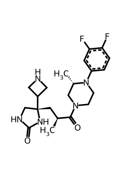 C[C@@H](C[C@]1(C2CNC2)CNC(=O)N1)C(=O)N1CCN(c2ccc(F)c(F)c2)[C@@H](C)C1